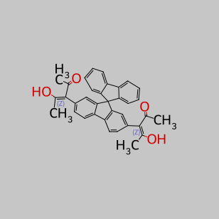 CC(=O)/C(=C(/C)O)c1ccc2c(c1)C1(c3ccccc3-c3ccccc31)c1cc(/C(C(C)=O)=C(\C)O)ccc1-2